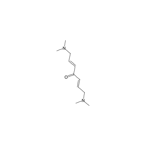 CN(C)CC=CC(=O)C=CCN(C)C